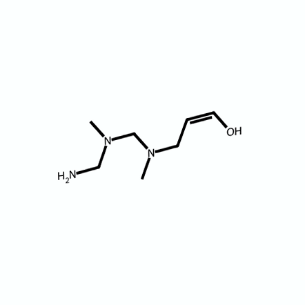 CN(CN)CN(C)C/C=C\O